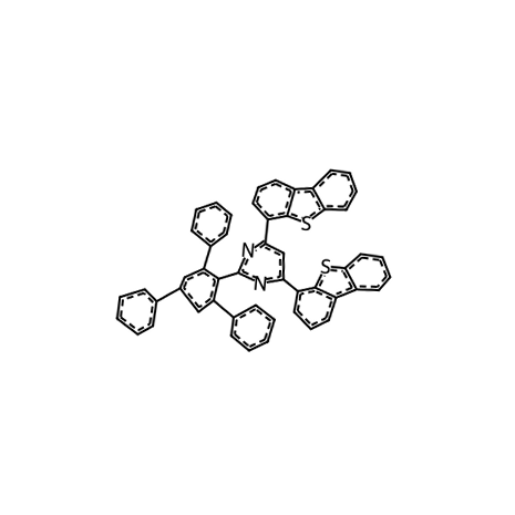 c1ccc(-c2cc(-c3ccccc3)c(-c3nc(-c4cccc5c4sc4ccccc45)cc(-c4cccc5c4sc4ccccc45)n3)c(-c3ccccc3)c2)cc1